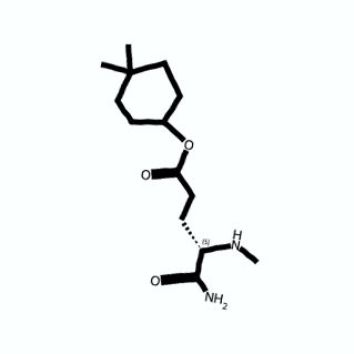 CN[C@@H](CCC(=O)OC1CCC(C)(C)CC1)C(N)=O